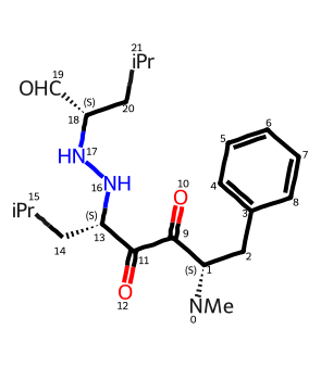 CN[C@@H](Cc1ccccc1)C(=O)C(=O)[C@H](CC(C)C)NN[C@H](C=O)CC(C)C